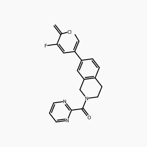 C=C(Cl)/C(F)=C\C(=C/C)c1ccc2c(c1)CN(C(=O)c1ncccn1)CC2